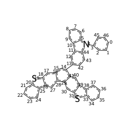 c1ccc(-n2c3ccccc3c3cc(-c4cc5cc6sc7ccccc7c6cc5c5cc6sc7ccccc7c6cc45)ccc32)cc1